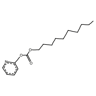 CCCCCCCCCCOC(=O)Oc1ccccn1